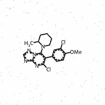 COc1ccc(-c2c(Cl)nc3ncnn3c2N2CCCCC2C)cc1Cl